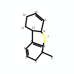 CC1CC=CC2=C1SC1C=CCCC21